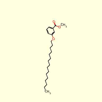 CCCCCCCCCCCCCCCCOc1cccc(C(=O)OC)c1